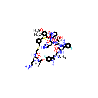 CN[C@@H](Cc1c[nH]c2ccc(F)cc12)C(=O)N[C@@H](Cc1c[nH]c2ccc(F)cc12)C(=O)N[C@@H](CC(=O)O)C(=O)N[C@@H](Cc1c[nH]cn1)C(=O)N[C@@H](Cc1ccc(OC)c(C)c1)C(=O)N1CCC[C@@]1(C)C(=O)NCCSCc1cccc(CSCCC(=O)N[C@@H](CCCCN)C(=O)N[C@H](C)C=O)c1